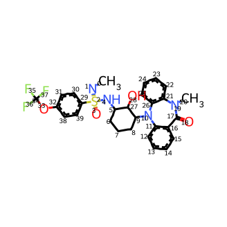 CN=S(=O)(NC1CCCC(N2c3ccccc3C(=O)N(C)c3ccccc32)C1O)c1ccc(OC(F)(F)F)cc1